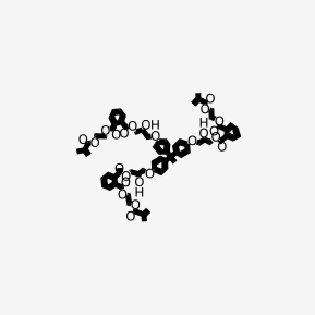 C=C(C)C(=O)OCCOC(=O)c1ccccc1C(=O)OCC(O)COc1ccc(C(C)(c2ccc(OCC(O)COC(=O)c3ccccc3C(=O)OCCOC(=O)C(=C)C)cc2)c2ccc(OCC(O)COC(=O)c3ccccc3C(=O)OCCOC(=O)C(=C)C)cc2)cc1